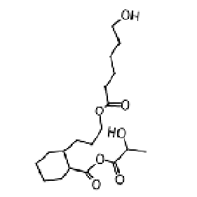 CC(O)C(=O)OC(=O)C1CCCCC1CCCOC(=O)CCCCCO